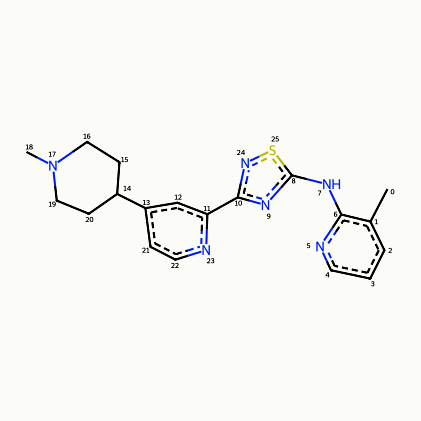 Cc1cccnc1Nc1nc(-c2cc(C3CCN(C)CC3)ccn2)ns1